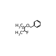 CC(F)[C@@H](C)OCc1ccccc1